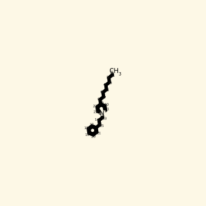 CCCCCCCCCc1cc[n+](CCCc2ccccc2)cc1